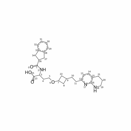 O=C(NC(CCOC1CC(CCc2ccc3c(n2)NCCC3)C1)C(=O)O)C1Cc2ccccc2C1